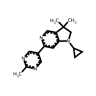 Cc1ncc(-c2cc3c(cn2)C(C)(C)CN3C2CC2)cn1